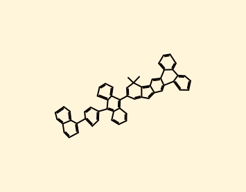 CC1(C)C=C(c2c3ccccc3c(-c3ccc(-c4cccc5ccccc45)cc3)c3ccccc23)C=C2C=c3cc4c5ccccc5c5ccccc5c4cc3=C21